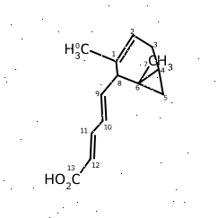 CC1=CCC2CC2(C)C1C=CC=CC(=O)O